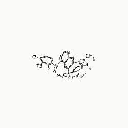 COc1cc2ncnc(Nc3ccc(Cl)c(Cl)c3F)c2cc1C(C)(C)C